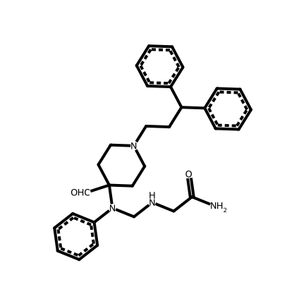 NC(=O)CNCN(c1ccccc1)C1(C=O)CCN(CCC(c2ccccc2)c2ccccc2)CC1